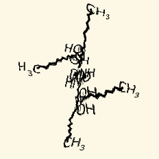 CCCCCCCCCC[C@@H](O)CN(CCCC[C@@H]1NC(=O)[C@@H](CCCCN(C[C@H](O)CCCCCCCCCC)C[C@H](O)CCCCCCCCCC)NC1=O)C[C@H](O)CCCCCCCCCC